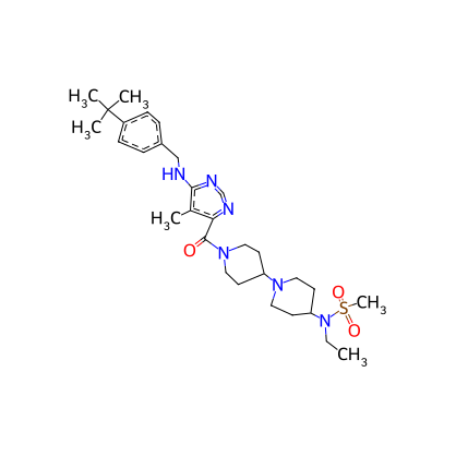 CCN(C1CCN(C2CCN(C(=O)c3ncnc(NCc4ccc(C(C)(C)C)cc4)c3C)CC2)CC1)S(C)(=O)=O